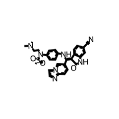 CN(C)CCN(c1ccc(NC(=C2C(=O)Nc3cc(C#N)ccc32)c2ccc3nccn3c2)cc1)S(C)(=O)=O